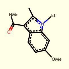 CCn1c(C)c(C(=O)NC)c2ccc(OC)cc21